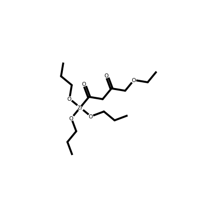 CCC[O][Zr]([O]CCC)([O]CCC)[C](=O)CC(=O)COCC